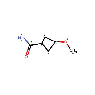 CO[C@H]1C[C@@H](C(N)=O)C1